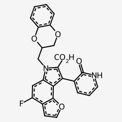 O=C(O)c1c(-c2ccc[nH]c2=O)c2c3occc3c(F)cc2n1CC1COc2ccccc2O1